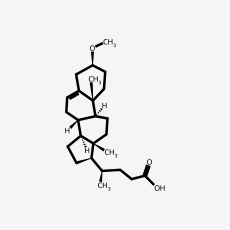 CO[C@H]1CC[C@@]2(C)C(=CC[C@H]3[C@@H]4CC[C@H]([C@H](C)CCC(=O)O)[C@@]4(C)CC[C@@H]32)C1